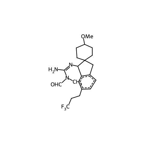 COC1CCC2(CC1)Cc1ccc(CCC(F)(F)F)cc1C2/N=C(/N)N(C)C=O